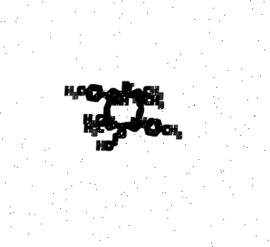 Cc1ccc(-c2cc3[nH]c2cc2nc(c(OCCO)c4cc(-c5ccc(C)cc5)c(cc5nc(c3Br)CC5(C)C)[nH]4)CC2(C)C)cc1